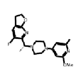 COc1cc(N2CCN([C@H](C)c3nc4c(cc3F)CCO4)CC2)cc(C)n1